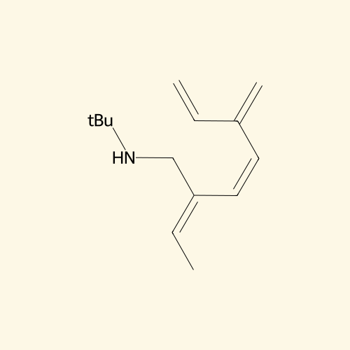 C=CC(=C)/C=C\C(=C/C)CNC(C)(C)C